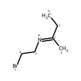 CCC(C)=NCCBr